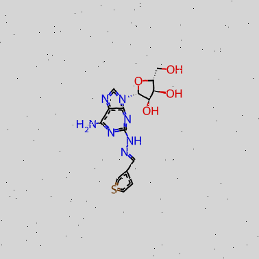 Nc1nc(NN=Cc2ccsc2)nc2c1ncn2[C@@H]1O[C@H](CO)[C@@H](O)[C@H]1O